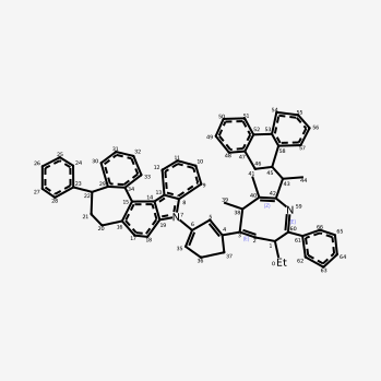 CCC1/C=C(/C2=CC(n3c4ccccc4c4c5c(ccc43)CCC(c3ccccc3)c3ccccc3-5)=CCC2)C(C)/C(C)=C(C(C)C2Cc3ccccc3-c3ccccc32)\N=C/1c1ccccc1